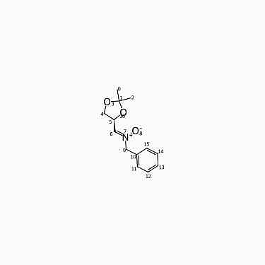 CC1(C)OC[C@H](/C=[N+](\[O-])Cc2ccccc2)O1